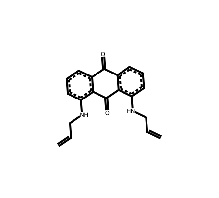 C=CCNc1cccc2c1C(=O)c1c(NCC=C)cccc1C2=O